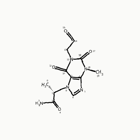 C[C@@H](C(N)=O)n1cnc2c1c(=O)n(CC=O)c(=O)n2C